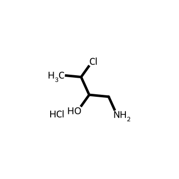 CC(Cl)C(O)CN.Cl